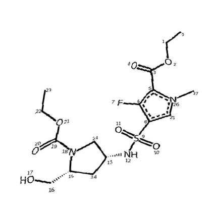 CCOC(=O)c1c(F)c(S(=O)(=O)N[C@@H]2C[C@H](CO)N(C(=O)OCC)C2)cn1C